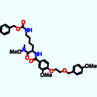 COc1ccc(COCCOc2ccc(C(=O)NC(CCCCNC(=O)OCc3ccccc3)C(=O)N(C)OC)cc2OC)cc1